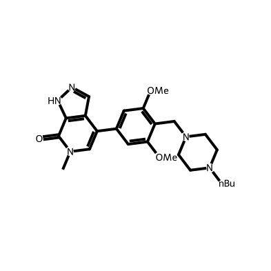 CCCCN1CCN(Cc2c(OC)cc(-c3cn(C)c(=O)c4[nH]ncc34)cc2OC)CC1